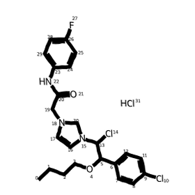 CCCCOC(c1ccc(Cl)cc1)C(Cl)N1C=CN(CC(=O)Nc2ccc(F)cc2)C1.Cl